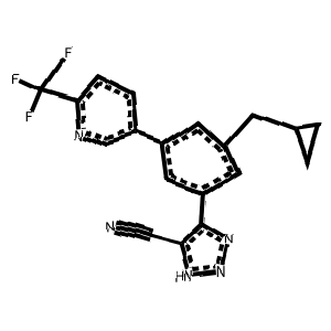 N#Cc1[nH]nnc1-c1cc(CC2CC2)cc(-c2ccc(C(F)(F)F)nc2)c1